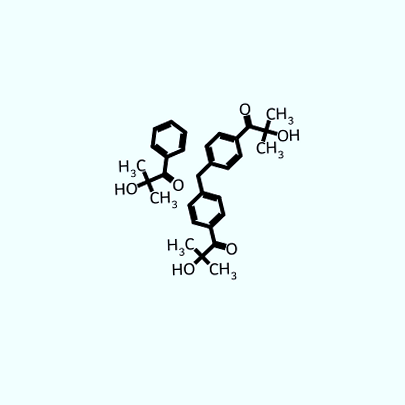 CC(C)(O)C(=O)c1ccc(Cc2ccc(C(=O)C(C)(C)O)cc2)cc1.CC(C)(O)C(=O)c1ccccc1